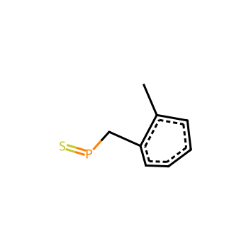 Cc1ccccc1CP=S